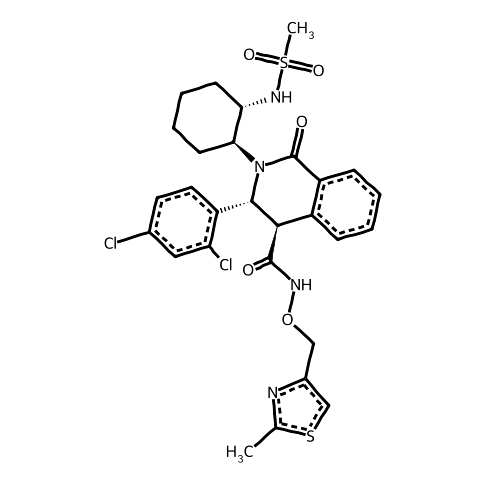 Cc1nc(CONC(=O)[C@@H]2c3ccccc3C(=O)N([C@H]3CCCC[C@@H]3NS(C)(=O)=O)[C@H]2c2ccc(Cl)cc2Cl)cs1